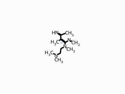 C=N/C(=C(/C)C(C)=N)N(C)CCN(C)C